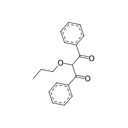 CCCOC(C(=O)c1ccccc1)C(=O)c1ccccc1